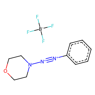 F[B-](F)(F)F.c1ccc([N+]#[N+]N2CCOCC2)cc1